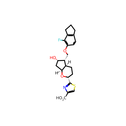 O=C(O)c1csc([C@H]2CC[C@@H]3[C@@H](COc4ccc5c(c4F)CCC5)[C@@H](O)C[C@@H]3O2)n1